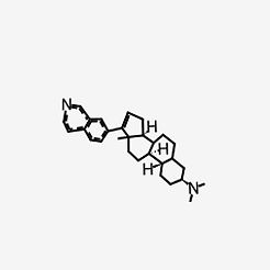 CN(C)[C@H]1CC[C@H]2C(CCC3[C@@H]2CCC2(C)C(c4ccc5ccncc5c4)=CC[C@@H]32)C1